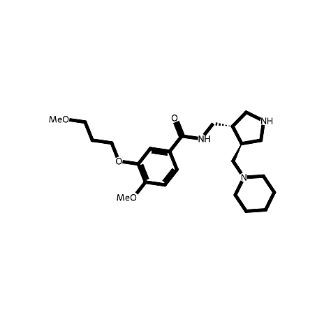 COCCCOc1cc(C(=O)NC[C@@H]2CNC[C@H]2CN2CCCCC2)ccc1OC